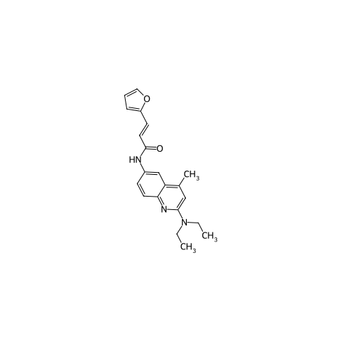 CCN(CC)c1cc(C)c2cc(NC(=O)/C=C/c3ccco3)ccc2n1